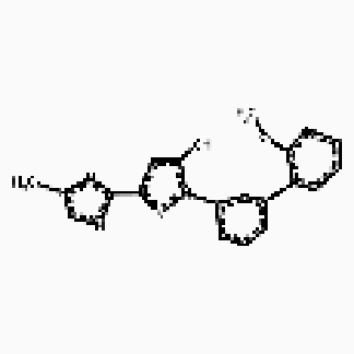 Cc1cc(-c2ncn(C)n2)nn1-c1cccc(-c2ccccc2OC(F)(F)F)c1